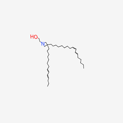 CCC/C=C/C=C/CCCCCCCC1(CCCCCCCC/C=C\C=C\CCCCC)CN(CCO)C1